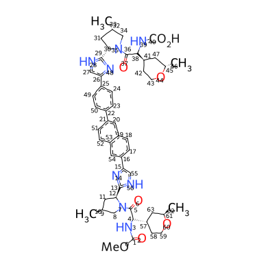 COC(=O)NC(C(=O)N1C[C@@H](C)C[C@H]1c1nc(-c2ccc3cc(-c4ccc(-c5c[nH]c([C@@H]6C[C@H](C)CN6C(=O)C(NC(=O)O)[C@@H]6CCO[C@@H](C)C6)n5)cc4)ccc3c2)c[nH]1)[C@H]1CCO[C@H](C)C1